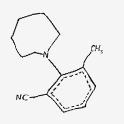 Cc1cccc(C#N)c1N1CCCCC1